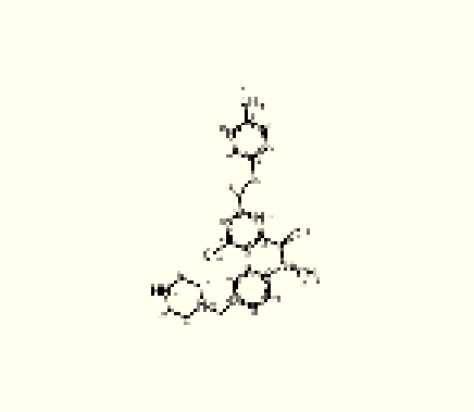 Cc1ccc(COc2cc(Cl)cc(C(=O)N(C)c3ccc(CN4CCNCC4)cc3)n2)cn1